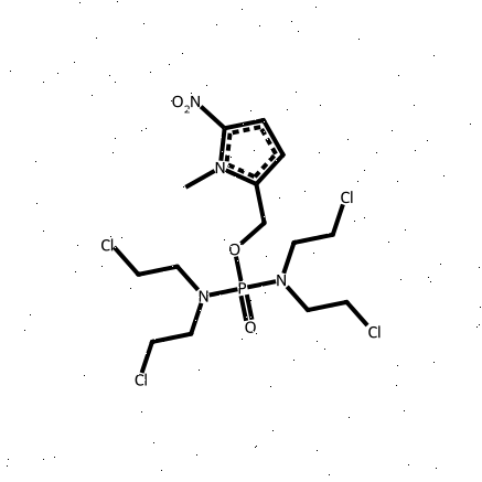 Cn1c(COP(=O)(N(CCCl)CCCl)N(CCCl)CCCl)ccc1[N+](=O)[O-]